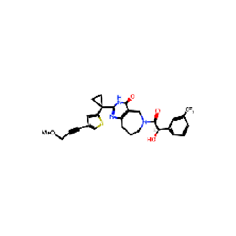 COCC#Cc1csc(C2(c3nc4c(c(=O)[nH]3)CN(C(=O)[C@H](O)c3cccc(C(F)(F)F)c3)CCC4)CC2)c1